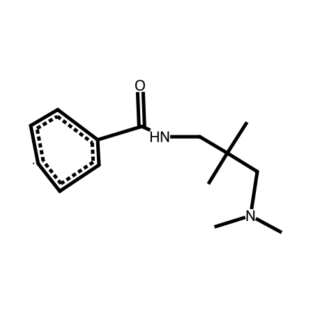 CN(C)CC(C)(C)CNC(=O)c1cc[c]cc1